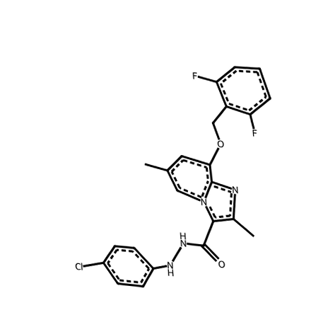 Cc1cc(OCc2c(F)cccc2F)c2nc(C)c(C(=O)NNc3ccc(Cl)cc3)n2c1